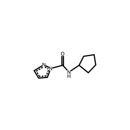 O=C(NC1CCCC1)n1cccn1